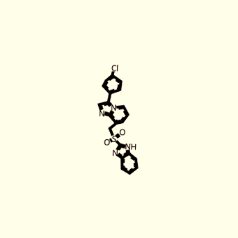 O=S(=O)(Cc1cccn2c(-c3ccc(Cl)cc3)cnc12)c1nc2ccccc2[nH]1